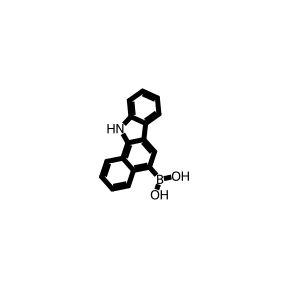 OB(O)c1cc2c3ccccc3[nH]c2c2ccccc12